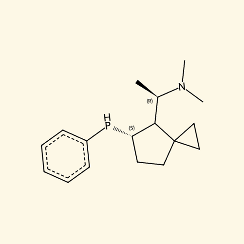 C[C@H](C1[C@@H](Pc2ccccc2)CCC12CC2)N(C)C